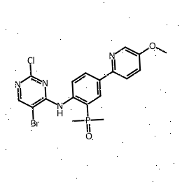 COc1ccc(-c2ccc(Nc3nc(Cl)ncc3Br)c(P(C)(C)=O)c2)nc1